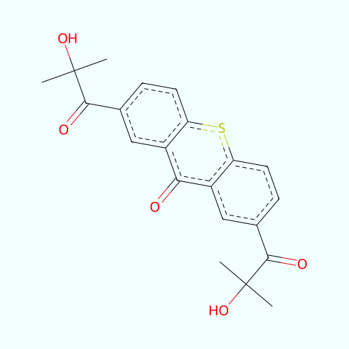 CC(C)(O)C(=O)c1ccc2sc3ccc(C(=O)C(C)(C)O)cc3c(=O)c2c1